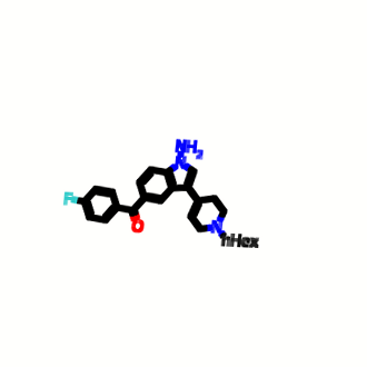 CCCCCCN1CC=C(c2cn(N)c3ccc(C(=O)c4ccc(F)cc4)cc23)CC1